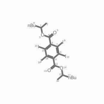 CCCCC(C)OC(=O)c1c(I)c(I)c(C(=O)OC(C)CCCC)c(I)c1I